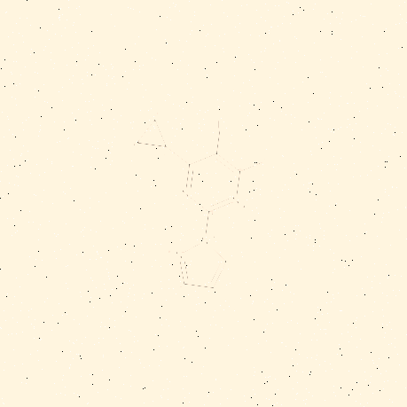 Fc1c(Cl)nc(-n2cccn2)nc1C1CC1